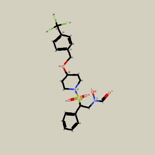 O=CN(O)CC(c1ccccc1)S(=O)(=O)N1CCC(OCc2ccc(C(F)(F)F)cc2)CC1